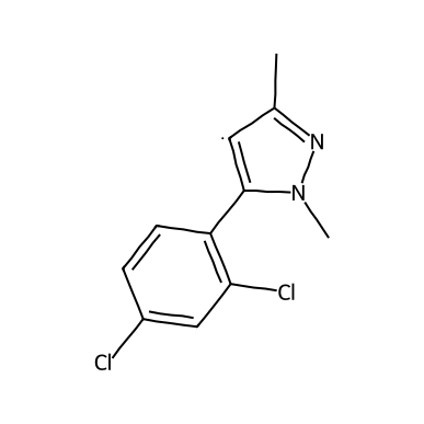 Cc1[c]c(-c2ccc(Cl)cc2Cl)n(C)n1